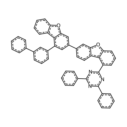 c1ccc(-c2cccc(-c3cc(-c4ccc5c(c4)oc4cccc(-c6nc(-c7ccccc7)nc(-c7ccccc7)n6)c45)cc4oc5ccccc5c34)c2)cc1